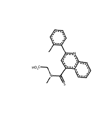 Cc1ccccc1-c1cc(C(=S)N(C)CC(=O)O)c2ccccc2n1